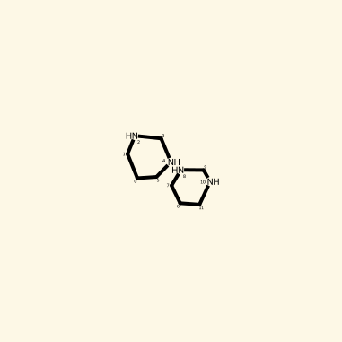 C1CNCNC1.C1CNCNC1